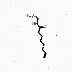 C=CCCCCCC(=O)NCC(=O)O